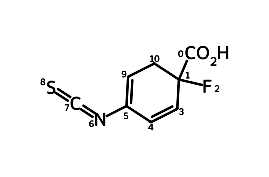 O=C(O)C1(F)C=CC(N=C=S)=CC1